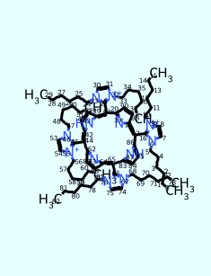 CCCCCCn1cc[n+](CCCCCC)c1-c1c2nc(c(-c3n(CCCCCC)cc[n+]3CCCCCC)c3ccc([nH]3)c(-c3n(CCCCCC)cc[n+]3CCCCCC)c3nc(c(-c4n(CCCCCC)cc[n+]4CCCCCC)c4ccc1[nH]4)C=C3)C=C2